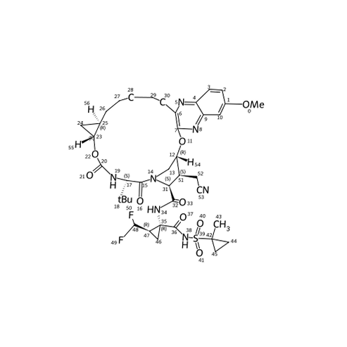 COc1ccc2nc3c(nc2c1)O[C@H]1CN(C(=O)[C@H](C(C)(C)C)NC(=O)O[C@@H]2C[C@H]2CCCCC3)[C@H](C(=O)N[C@]2(C(=O)NS(=O)(=O)C3(C)CC3)C[C@H]2C(F)F)[C@@H]1CC#N